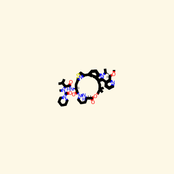 CCn1c(-c2cccnc2[C@H](C)OC)c2c3cc(ccc31)-c1csc(n1)C[C@H](NC(=O)C(C(C)C)N(C)C(=O)N1CCCCC1)C(=O)N1CCC[C@H](N1)C(=O)OCC(C)(C)C2